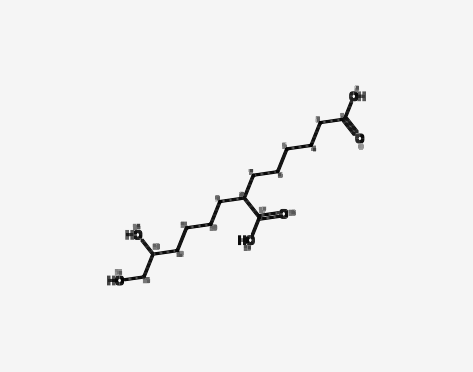 O=C(O)CCCCCC(CCCCC(O)CO)C(=O)O